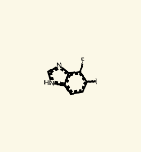 Fc1c(I)ccc2[nH]cnc12